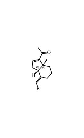 CC(=O)C1=CC[C@H]2C(=CBr)CCC[C@@]12C